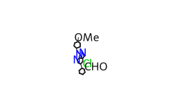 COc1ccc(Cn2ncc3c(Cl)c(-c4ccccc4C=O)cnc32)cc1